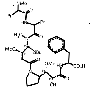 CC[C@H](C)[C@@H]([C@@H](CC(=O)N1CCCC1[C@H](OC)[C@@H](C)C(=O)NC(Cc1ccccc1)C(=O)O)OC)N(C)C(=O)C(NC(=O)C(NC)C(C)C)C(C)C